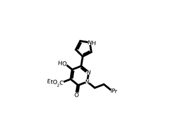 CCOC(=O)c1c(O)c(-c2cc[nH]c2)nn(CCC(C)C)c1=O